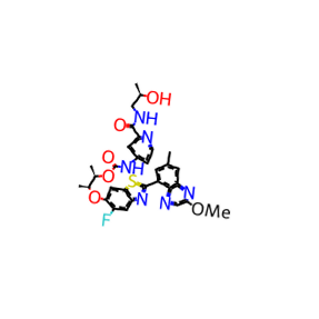 COc1cnc2c(-c3nc4cc(F)c(O[C@@H](C)[C@@H](C)OC(=O)Nc5ccnc(C(=O)NC[C@@H](C)O)c5)cc4s3)cc(C)cc2n1